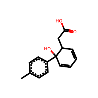 Cc1ccc(C2(O)C=CC=CC2CC(=O)O)cc1